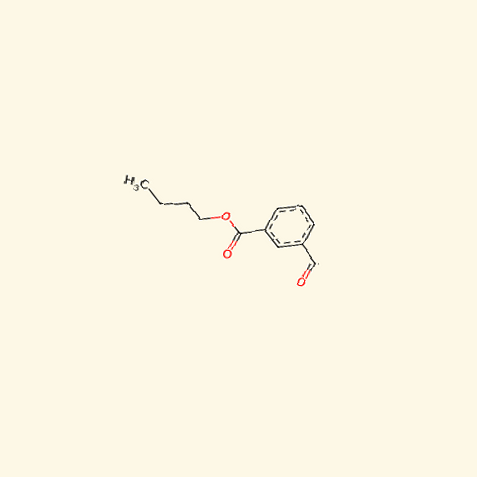 CCCCOC(=O)c1cccc([C]=O)c1